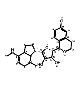 CNC1=NCN(C)C2C1CCN2[C@@H]1O[C@H]([C@@H]2OCCc3cc(Cl)ccc32)[C@@H](O)[C@H]1O